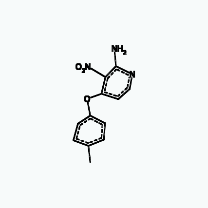 Cc1ccc(Oc2ccnc(N)c2[N+](=O)[O-])cc1